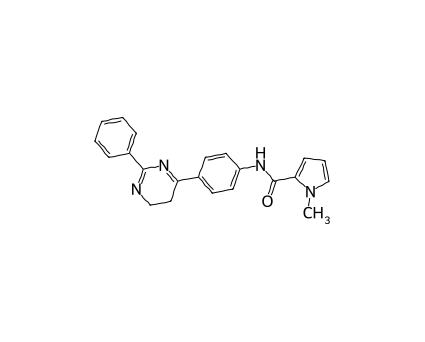 Cn1cccc1C(=O)Nc1ccc(C2=NC(c3ccccc3)=NCC2)cc1